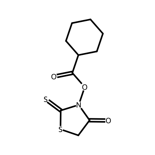 O=C(ON1C(=O)CSC1=S)C1CCCCC1